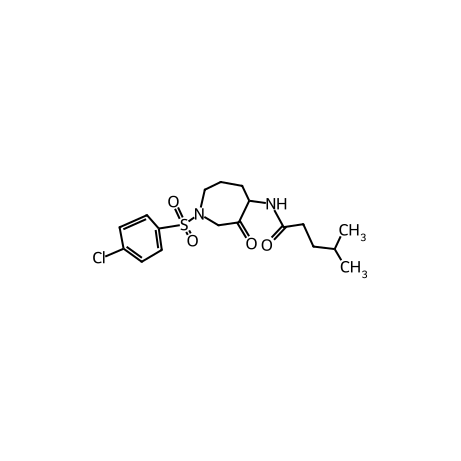 CC(C)CCC(=O)NC1CCCN(S(=O)(=O)c2ccc(Cl)cc2)CC1=O